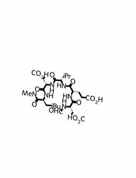 CCC(C)C[C@H](NC(=O)[C@H](CC(=O)O)NC(=O)[C@@H](NC(=O)[C@H](CCC(=O)O)NC(=O)[C@H](CC(=O)O)NC=O)C(C)C)C(=O)NC